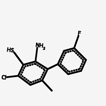 Cc1cc(Cl)c(S)c(N)c1-c1cccc(F)c1